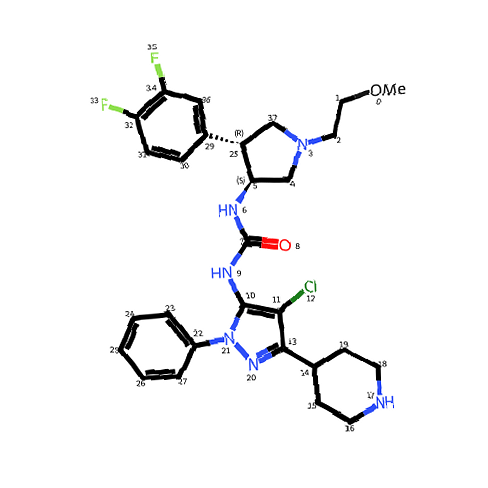 COCCN1C[C@@H](NC(=O)Nc2c(Cl)c(C3CCNCC3)nn2-c2ccccc2)[C@H](c2ccc(F)c(F)c2)C1